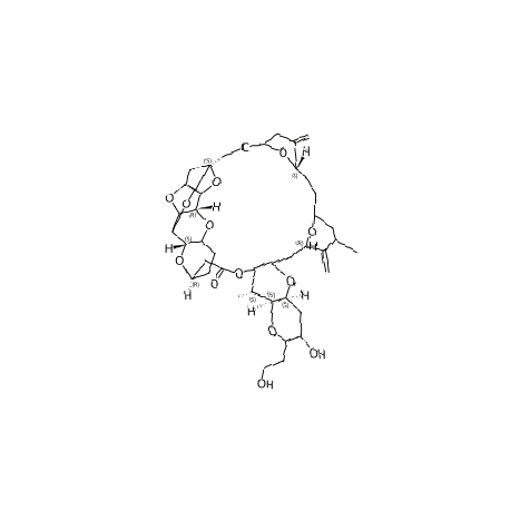 C=C1CC2CC[C@@]34CC5OC6C(O3)[C@H]3O[C@H](CCC3O[C@H]6C5O4)CC(=O)OC3C(C[C@H]4OC(CC[C@@H]1O2)CC(C)C4=C)O[C@H]1CC(O)C(CCO)O[C@H]1[C@@H]3C